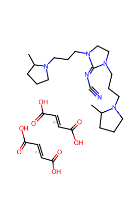 CC1CCCN1CCCN1CCN(CCCN2CCCC2C)C1=NC#N.O=C(O)/C=C/C(=O)O.O=C(O)/C=C/C(=O)O